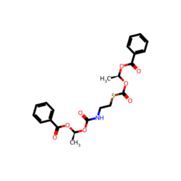 C[C@H](OC(=O)NCCSC(=O)O[C@@H](C)OC(=O)c1ccccc1)OC(=O)c1ccccc1